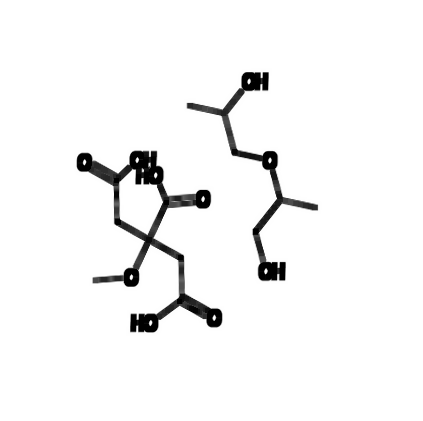 CC(O)COC(C)CO.COC(CC(=O)O)(CC(=O)O)C(=O)O